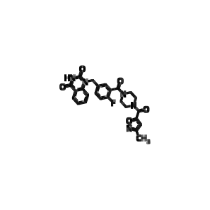 Cc1cc(C(=O)N2CCN(C(=O)c3cc(Cn4c(=O)[nH]c(=O)c5ccccc54)ccc3F)CC2)on1